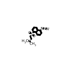 CN(C)CCS(=O)(=O)c1cccc2c(N=[N+]=[N-])cccc12